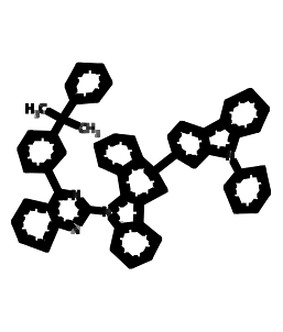 CC(C)(c1ccccc1)c1cccc(-c2nc(-n3c4ccccc4c4cc(-c5ccc6c7ccccc7n(-c7ccccc7)c6c5)c5ccccc5c43)nc3ccccc23)c1